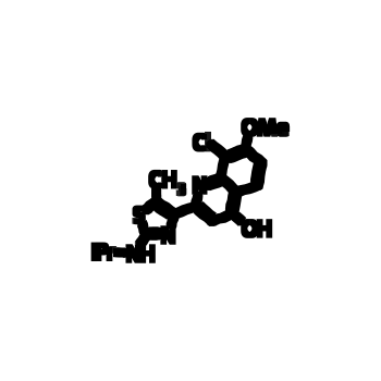 COc1ccc2c(O)cc(-c3nc(NC(C)C)sc3C)nc2c1Cl